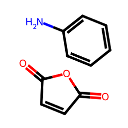 Nc1ccccc1.O=C1C=CC(=O)O1